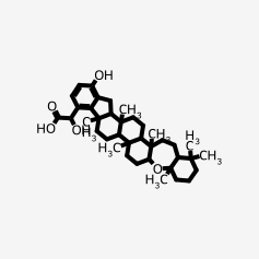 CC1(C)CCCC2(C)OC3CCC4(C)C(CCC5(C)C6Cc7c(O)ccc(C(O)C(=O)O)c7C6(C)CCC54)C3(C)CCC12